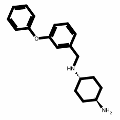 N[C@H]1CC[C@H](NCc2cccc(Oc3ccccc3)c2)CC1